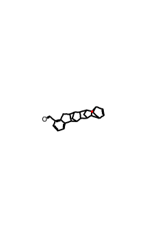 O=Cc1cccc2c1CC1C3CC(C21)C1C2CC(C4C5C=CC(C5)C24)C31